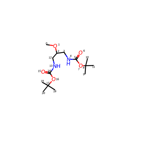 COC(CNC(=O)OC(C)(C)C)CNC(=O)OC(C)(C)C